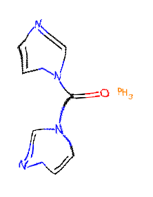 O=C(n1ccnc1)n1ccnc1.P